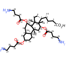 C[C@H](CCC(=O)O)[C@H]1CC[C@H]2C3[C@H](OC(=O)CCCN)CC4C[C@H](OC(=O)CCCN)CC[C@]4(C)[C@H]3C[C@H](OC(=O)CCCN)C12C